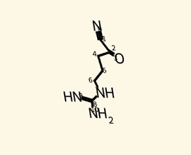 N#CC(=O)CCCNC(=N)N